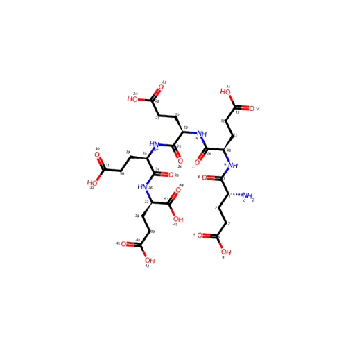 N[C@H](CCC(=O)O)C(=O)N[C@H](CCC(=O)O)C(=O)N[C@H](CCC(=O)O)C(=O)N[C@H](CCC(=O)O)C(=O)N[C@H](CCC(=O)O)C(=O)O